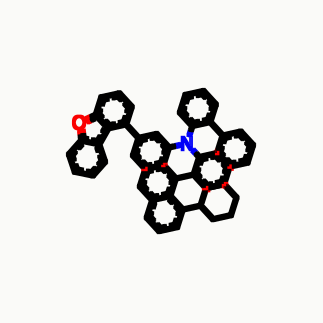 c1ccc(-c2ccccc2N(c2cccc(-c3cccc4oc5ccccc5c34)c2)c2ccccc2-c2cccc3cccc(C4CCCCC4)c23)cc1